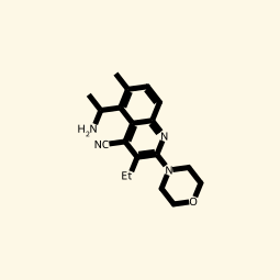 CCc1c(N2CCOCC2)nc2ccc(C)c(C(C)N)c2c1C#N